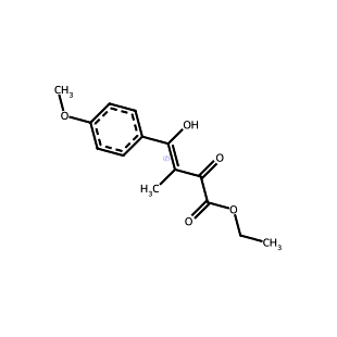 CCOC(=O)C(=O)/C(C)=C(\O)c1ccc(OC)cc1